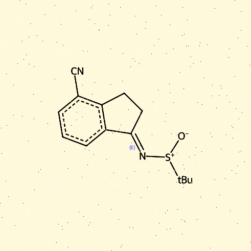 CC(C)(C)[S+]([O-])/N=C1\CCc2c(C#N)cccc21